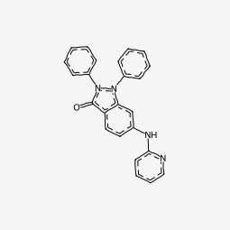 O=c1c2ccc(Nc3ccccn3)cc2n(-c2ccccc2)n1-c1ccccc1